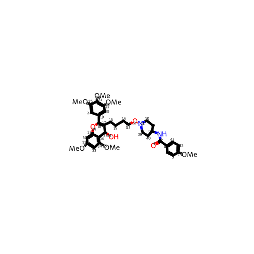 COc1ccc(C(=O)NC2CCN(OCCCCC3=C(c4cc(OC)c(OC)c(OC)c4)Oc4cc(OC)cc(OC)c4C3O)CC2)cc1